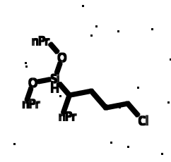 CCCO[SiH](OCCC)C(CCC)CCCCl